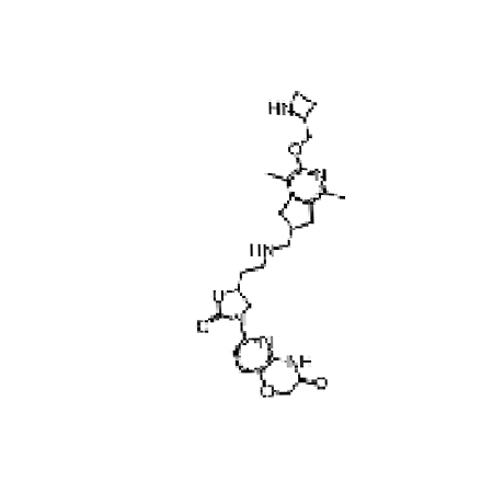 Cc1nc(OC[C@@H]2CCN2)c(C)c2c1CC(CNCCC1CN(c3ccc4c(n3)NC(=O)CO4)C(=O)O1)C2